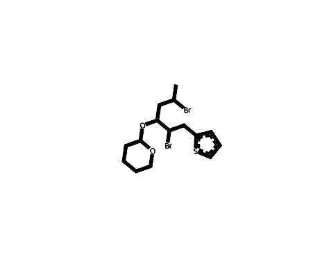 CC(Br)CC(OC1CCCCO1)C(Br)Cc1cccs1